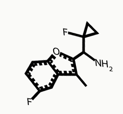 Cc1c(C(N)C2(F)CC2)oc2ccc(F)cc12